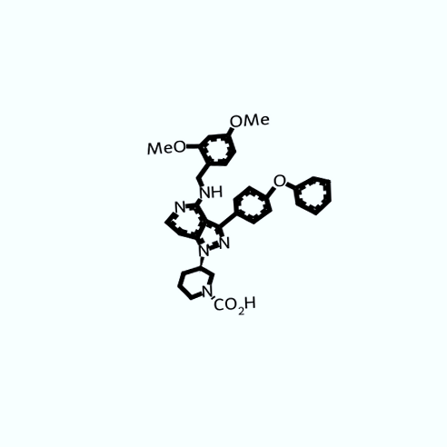 COc1ccc(CNc2nccc3c2c(-c2ccc(Oc4ccccc4)cc2)nn3[C@@H]2CCCN(C(=O)O)C2)c(OC)c1